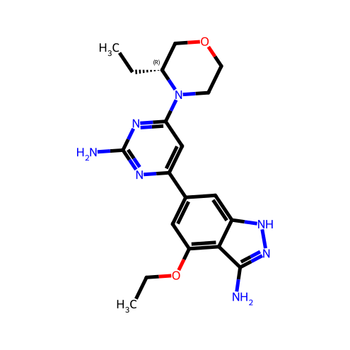 CCOc1cc(-c2cc(N3CCOC[C@H]3CC)nc(N)n2)cc2[nH]nc(N)c12